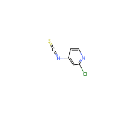 S=C=Nc1ccnc(Cl)c1